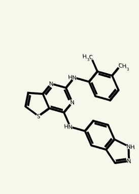 Cc1cccc(Nc2nc(Nc3ccc4[nH]ncc4c3)c3sccc3n2)c1C